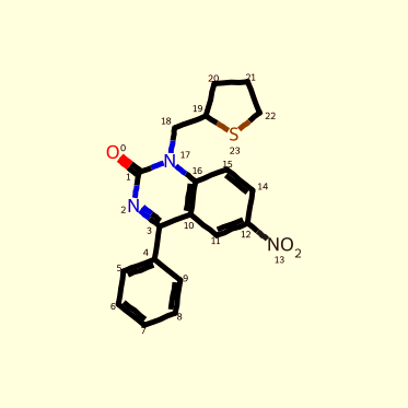 O=c1nc(-c2ccccc2)c2cc([N+](=O)[O-])ccc2n1CC1CCCS1